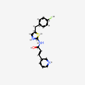 O=C(/C=C/c1cccnc1)Nc1ncc(Cc2ccc(F)cc2)s1